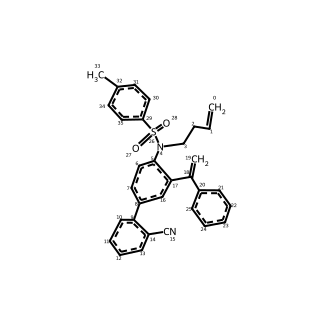 C=CCCN(c1ccc(-c2ccccc2C#N)cc1C(=C)c1ccccc1)S(=O)(=O)c1ccc(C)cc1